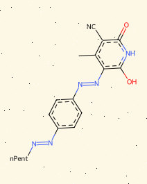 CCCCC/N=N/c1ccc(/N=N/c2c(O)[nH]c(=O)c(C#N)c2C)cc1